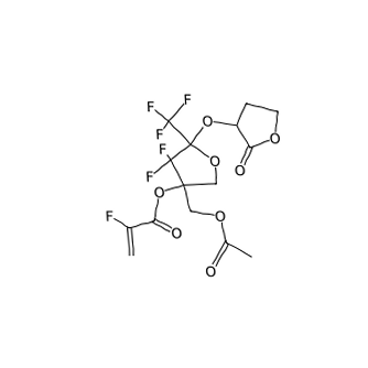 C=C(F)C(=O)OC1(COC(C)=O)COC(OC2CCOC2=O)(C(F)(F)F)C1(F)F